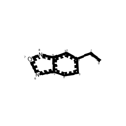 CCc1ccc2nonc2c1